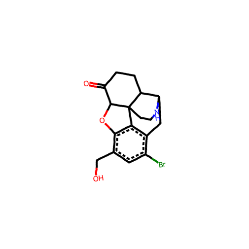 O=C1CCC2C3Cc4c(Br)cc(CO)c5c4C2(CCN3)C1O5